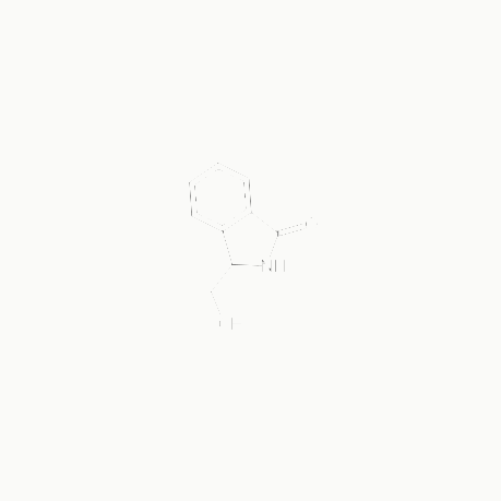 CCC1NC(=O)c2cc[c]cc21